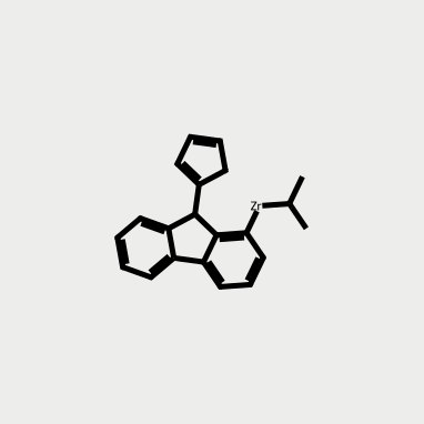 C[CH](C)[Zr][c]1cccc2c1C(C1=CC=CC1)c1ccccc1-2